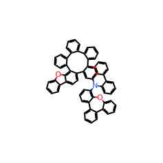 c1ccc(-c2ccccc2N(c2ccc3c4ccccc4c4ccccc4c4ccccc4c4c(ccc5c6ccccc6oc54)c3c2)c2cccc3c2Oc2ccccc2-c2ccccc2-3)cc1